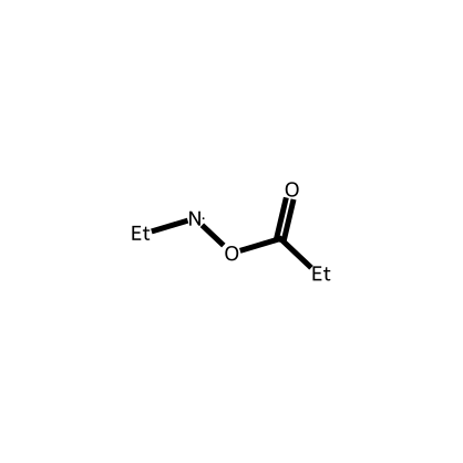 CC[N]OC(=O)CC